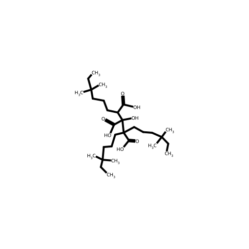 CCC(C)(C)CCCC(C(=O)O)C(O)(C(=O)O)C(CCCC(C)(C)CC)(CCCC(C)(C)CC)C(=O)O